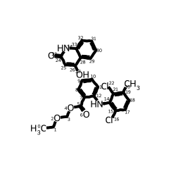 CCOCOC(=O)c1ccccc1Nc1c(Cl)ccc(C)c1Cl.O=c1cc(O)c2ccccc2[nH]1